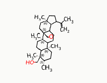 C=C(C)C1CC[C@]2(C)CC[C@]3(C=O)C(CCC4[C@@]5(C)CC[C@H](C)[C@@](C)(CO)C5CC[C@]43C)C12